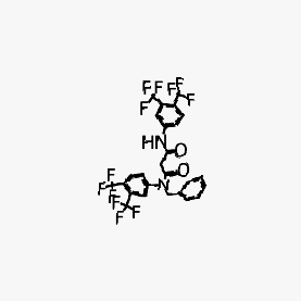 O=C(CC(=O)N(Cc1ccccc1)c1ccc(C(F)(F)F)c(C(F)(F)F)c1)Nc1ccc(C(F)(F)F)c(C(F)(F)F)c1